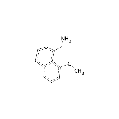 COc1cccc2cccc(CN)c12